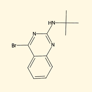 CC(C)(C)Nc1nc(Br)c2ccccc2n1